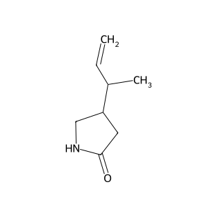 C=CC(C)C1CNC(=O)C1